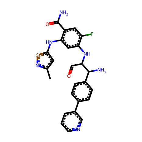 Cc1cc(Nc2cc(NC(C=O)C(N)c3ccc(-c4cccnc4)cc3)c(F)cc2C(N)=O)sn1